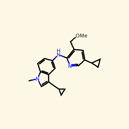 COCc1cc(C2CC2)cnc1Nc1ccc2c(c1)c(C1CC1)cn2C